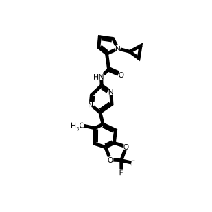 Cc1cc2c(cc1-c1cnc(NC(=O)c3cccn3C3CC3)cn1)OC(F)(F)O2